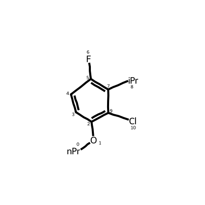 CCCOc1ccc(F)c(C(C)C)c1Cl